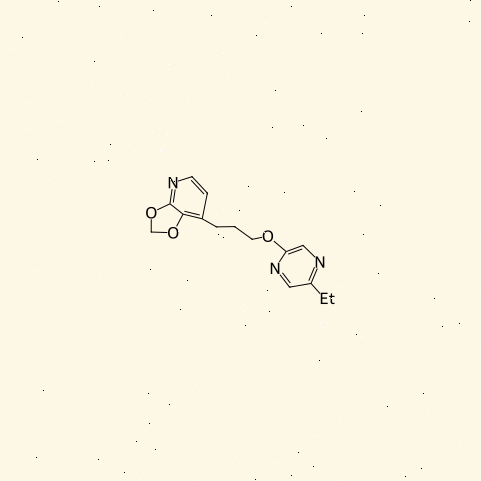 CCc1cnc(OCCCc2ccnc3c2OCO3)cn1